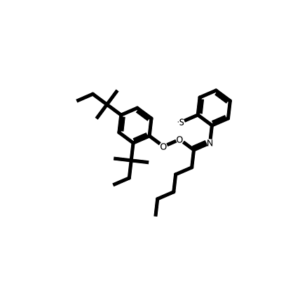 CCCCCC(=Nc1ccccc1[S])OOc1ccc(C(C)(C)CC)cc1C(C)(C)CC